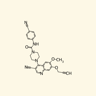 C#CCOc1cc2ncc(C#N)c(N3CCN(C(=O)Nc4ccc(C#N)cc4)CC3)c2cc1OC